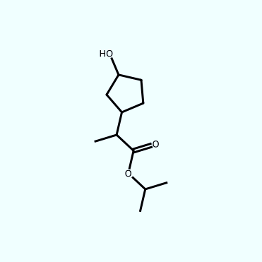 CC(C)OC(=O)C(C)C1CCC(O)C1